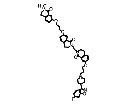 CN1CCc2ccc(OCCCOc3ccc4c(c3)C(=O)N(CCN3CCc5ccc(OCCCN6CCC(c7noc8cc(F)ccc78)CC6)cc5C3=O)CC4)cc2C1=O